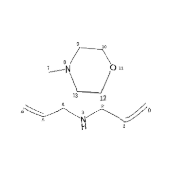 C=CCNCC=C.CN1CCOCC1